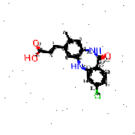 Cc1cc2c(cc1/C=C/C(=O)O)Nc1cc(Cl)ccc1C(=O)N2